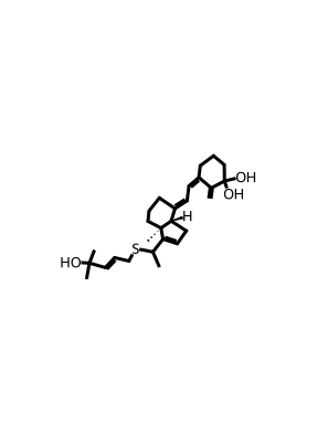 C=C1/C(=C\C=C2/CCC[C@]3(C)C(C(C)SC/C=C/C(C)(C)O)=CC[C@@H]23)CCCC1(O)O